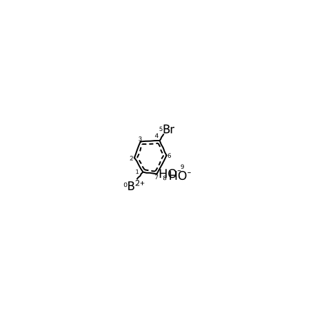 [B+2]c1ccc(Br)cc1.[OH-].[OH-]